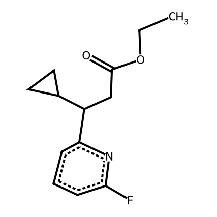 CCOC(=O)CC(c1cccc(F)n1)C1CC1